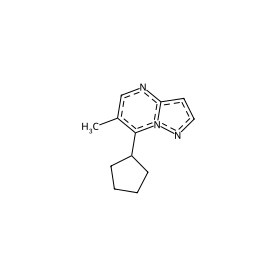 Cc1cnc2ccnn2c1C1CCCC1